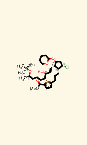 COC(=O)c1ccc(CCC[C@@H]2[C@H](C=C[C@H](O)CCCC[C@@H](C)O[Si](C)(C)C(C)(C)C)[C@H](OC3CCCCO3)C[C@@H]2Cl)s1